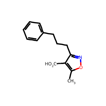 Cc1onc(CCCc2ccccc2)c1C(=O)O